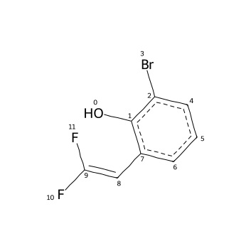 Oc1c(Br)cccc1C=C(F)F